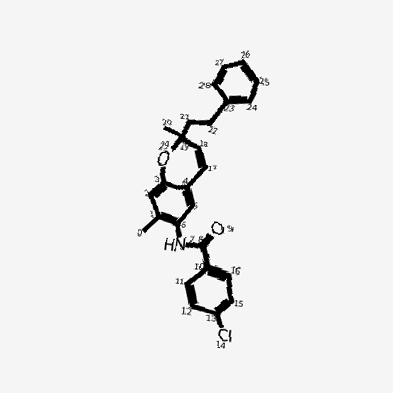 Cc1cc2c(cc1NC(=O)c1ccc(Cl)cc1)C=CC(C)(CCc1ccccc1)O2